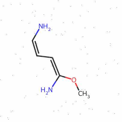 CO/C(N)=C/C=C\N